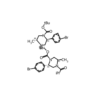 CC(C)C(=O)N1C[C@H](c2ccc(Br)cc2)N(C(=O)OC(C)(C)C)C[C@H]1C.C[C@@H]1CN(C(=O)OC(C)(C)C)[C@@H](c2ccc(Br)cc2)CN1